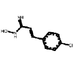 N=C(C=Cc1ccc(Cl)cc1)NO